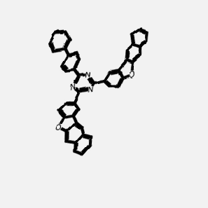 c1ccc(-c2ccc(-c3nc(-c4ccc5oc6cc7ccccc7cc6c5c4)nc(-c4ccc5oc6cc7ccccc7cc6c5c4)n3)cc2)cc1